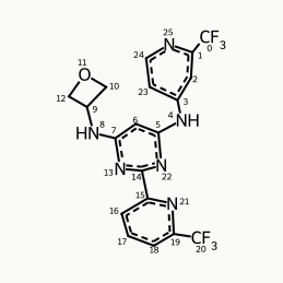 FC(F)(F)c1cc(Nc2cc(NC3COC3)nc(-c3cccc(C(F)(F)F)n3)n2)ccn1